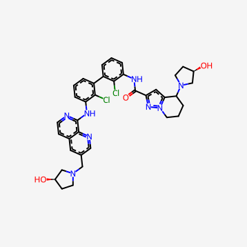 O=C(Nc1cccc(-c2cccc(Nc3nccc4cc(CN5CC[C@@H](O)C5)cnc34)c2Cl)c1Cl)c1cc2n(n1)CCCC2N1CC[C@@H](O)C1